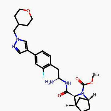 CC(C)(C)OC(=O)N1[C@@H]2CC[C@@H](C2)[C@H]1C(=O)N[C@H](N)Cc1ccc(-c2cnn(CC3CCOCC3)c2)cc1F